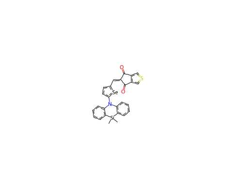 C[Si]1(C)c2ccccc2N(c2ccc(C=C3C(=O)c4cscc4C3=O)[se]2)c2ccccc21